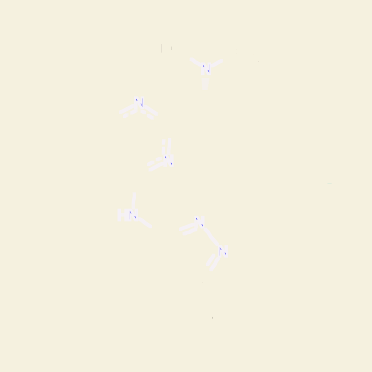 CC1=NN=C(Nc2nc([C@@H](c3ccc(F)cc3)N(C)C(=O)O)nc3ccccc23)C1